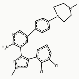 CN1CCN(c2ccc(-c3cnc(N)c(-c4nn(C)cc4-c4cccc(Cl)c4Cl)c3)cc2)CC1